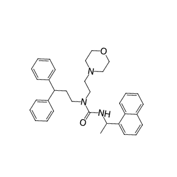 CC(NC(=O)N(CCC(c1ccccc1)c1ccccc1)CCN1CCOCC1)c1cccc2ccccc12